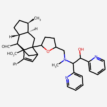 CC(C)C1=CC2CC3(C=O)[C@@H]4CC[C@@H](C)[C@H]4CC2(C2CCC(CN(C)C(c4ccccn4)C(O)c4ccccn4)O2)C13C(=O)O